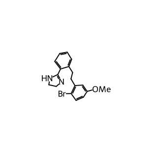 COc1ccc(Br)c(CCc2ccccc2C2=NCCN2)c1